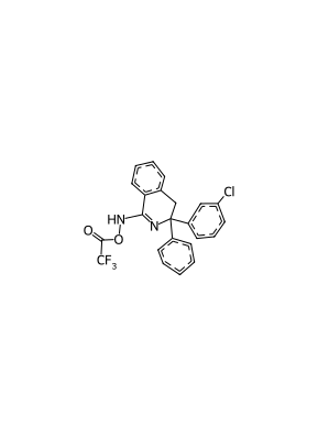 O=C(ONC1=NC(c2ccccc2)(c2cccc(Cl)c2)Cc2ccccc21)C(F)(F)F